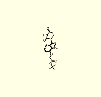 Cn1nc(C2CCC(=O)NC2=O)c2cccc(OCC(=O)OC(C)(C)C)c21